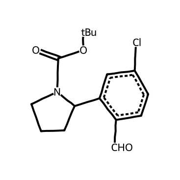 CC(C)(C)OC(=O)N1CCCC1c1cc(Cl)ccc1C=O